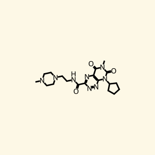 CN1CCN(CCNC(=O)c2nnc3c(n2)c(=O)n(C)c(=O)n3C2CCCC2)CC1